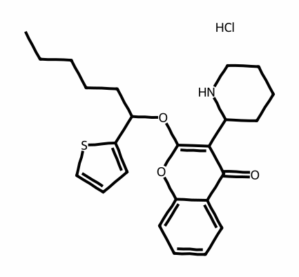 CCCCCC(Oc1oc2ccccc2c(=O)c1C1CCCCN1)c1cccs1.Cl